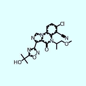 COCC(C)n1c(=O)c2c(-c3noc(C(C)(C)O)n3)ncn2c2ccc(Cl)c(C#N)c21